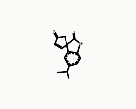 CC(C)c1ccc2c(c1)[C@]1(C=CC(=O)C1)C(=O)N2